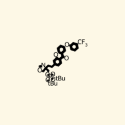 CC(C)(C)OP(=O)(OCC1(CCc2ccc3c(=O)c4cc(Oc5cccc(C(F)(F)F)c5)ccc4oc3c2)COC=N1)OC(C)(C)C